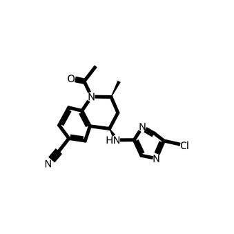 CC(=O)N1c2ccc(C#N)cc2[C@H](Nc2cnc(Cl)cn2)C[C@@H]1C